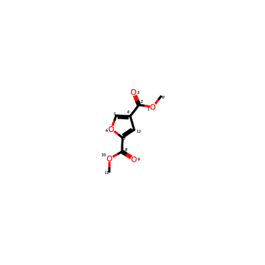 COC(=O)c1coc(C(=O)OC)c1